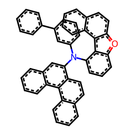 c1ccc(-c2cccc(N(c3cc4ccccc4c4c3ccc3ccccc34)c3cccc4oc5ccc6ccccc6c5c34)c2)cc1